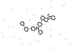 c1ccc(-c2cccc(-c3ccc(N(c4ccccc4)c4ccc(-c5cccc6c5ccc5c7ccccc7sc65)cc4)cc3)c2)cc1